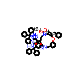 CC(C)(C)OC(=O)N1C/C=C(/c2cc(NC(c3ccccc3)(c3ccccc3)c3ccccc3)nc3c2nnn3C(c2ccccc2)(c2ccccc2)c2ccccc2)c2cnn(c2)Cc2cccc(c2)O[C@@H]2C[C@@H]1C[C@@H]2Cc1ccccc1